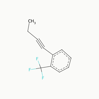 CCC#Cc1ccccc1C(F)(F)F